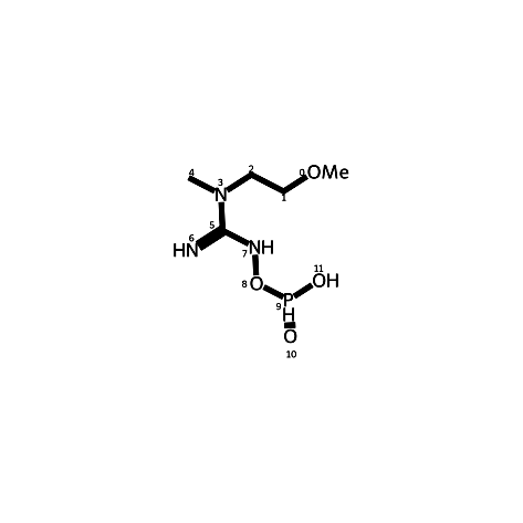 COCCN(C)C(=N)NO[PH](=O)O